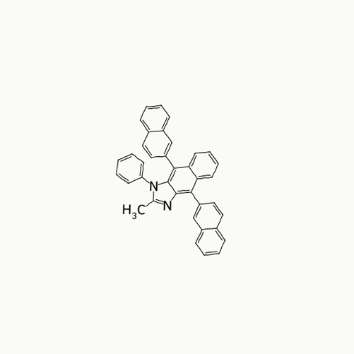 Cc1nc2c(-c3ccc4ccccc4c3)c3ccccc3c(-c3ccc4ccccc4c3)c2n1-c1ccccc1